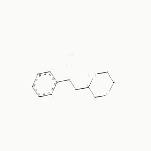 Cl.Cl.c1ccc(CCC2CNCCN2)cc1